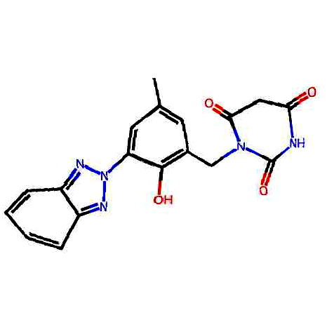 Cc1cc(CN2C(=O)CC(=O)NC2=O)c(O)c(-n2nc3ccccc3n2)c1